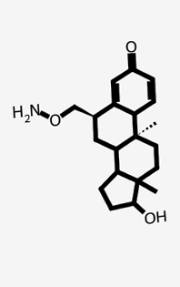 CC12CC[C@]3(C)C4C=CC(=O)C=C4[C@H](CON)CC3C1CCC2O